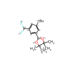 CC(C)(C)c1cc(B2OC(C)(C)C(C)(C)O2)cc(C(F)F)c1